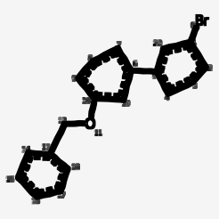 Brc1cccc(-c2cccc(OCc3ccccc3)c2)c1